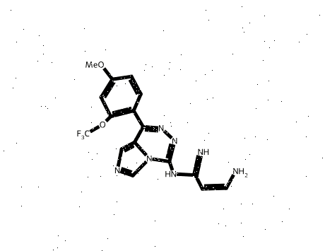 COc1ccc(-c2nnc(NC(=N)/C=C\N)n3cncc23)c(OC(F)(F)F)c1